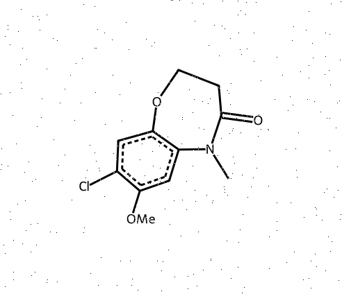 COc1cc2c(cc1Cl)OCCC(=O)N2C